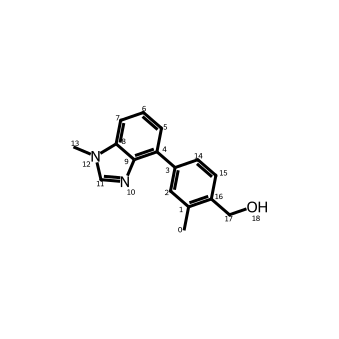 Cc1cc(-c2cccc3c2ncn3C)ccc1CO